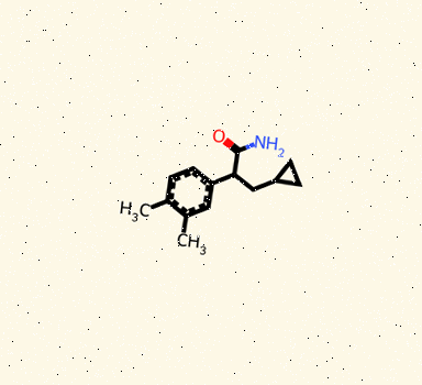 Cc1ccc(C(CC2CC2)C(N)=O)cc1C